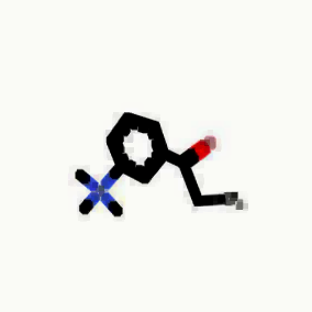 C[N+](C)(C)c1cccc(C(=O)CC(F)(F)F)c1